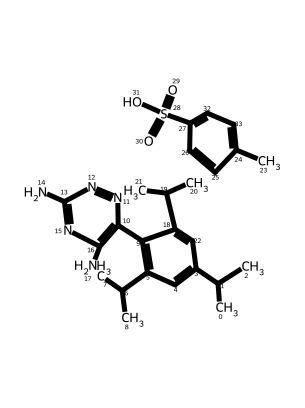 CC(C)c1cc(C(C)C)c(-c2nnc(N)nc2N)c(C(C)C)c1.Cc1ccc(S(=O)(=O)O)cc1